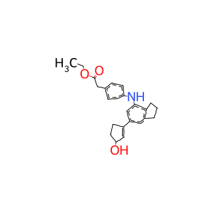 CCOC(=O)Cc1ccc(Nc2cc(C3=CC(O)CC3)cc3c2CCC3)cc1